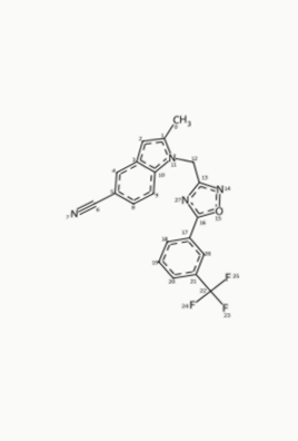 Cc1cc2cc(C#N)ccc2n1Cc1noc(-c2cccc(C(F)(F)F)c2)n1